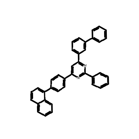 c1ccc(-c2cccc(-c3cc(-c4ccc(-c5cccc6ccccc56)cc4)nc(-c4ccccc4)n3)c2)cc1